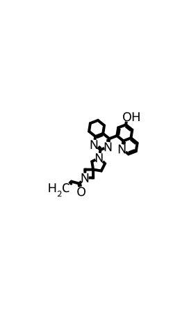 C=CC(=O)N1CC2(CCN(c3nc4c(c(-c5cc(O)cc6cccnc56)n3)CCCC4)C2)C1